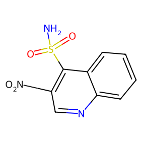 NS(=O)(=O)c1c([N+](=O)[O-])cnc2ccccc12